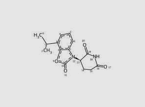 CC(C)c1cccc2c1oc(=O)n2[C@@H]1CCC(=O)NC1=O